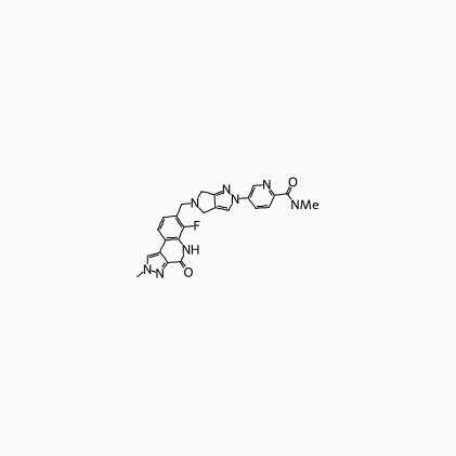 CNC(=O)c1ccc(-n2cc3c(n2)CN(Cc2ccc4c([nH]c(=O)c5nn(C)cc54)c2F)C3)cn1